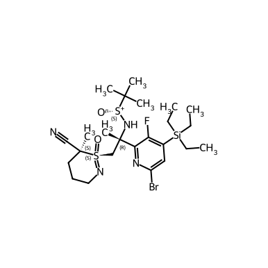 CC[Si](CC)(CC)c1cc(Br)nc([C@](C)(C[S@@]2(=O)=NCCC[C@@]2(C)C#N)N[S@+]([O-])C(C)(C)C)c1F